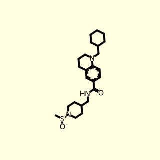 C[S+]([O-])N1CCC(CNC(=O)c2ccc3c(c2)CCCN3CC2CCCCC2)CC1